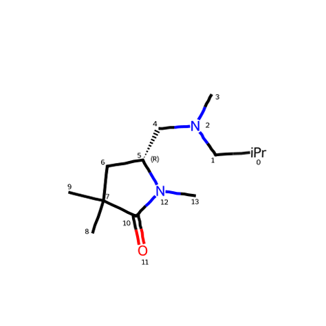 CC(C)CN(C)C[C@H]1CC(C)(C)C(=O)N1C